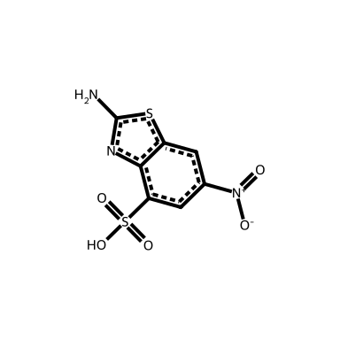 Nc1nc2c(S(=O)(=O)O)cc([N+](=O)[O-])cc2s1